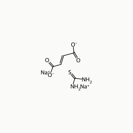 NC(N)=S.O=C([O-])C=CC(=O)[O-].[Na+].[Na+]